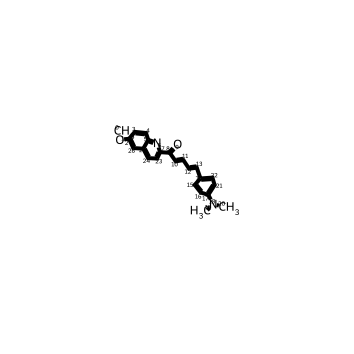 COc1ccc2nc(C(=O)/C=C/C=C/c3ccc(N(C)C)cc3)ccc2c1